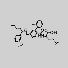 CCCCC(OCc1ccc(C(=O)NC(CCSC)C(=O)O)c(-c2ccccc2C)c1)c1cccc(OC)c1